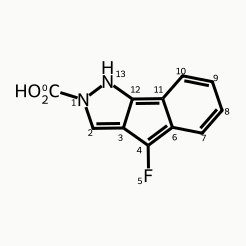 O=C(O)n1cc2c(F)c3ccccc3c-2[nH]1